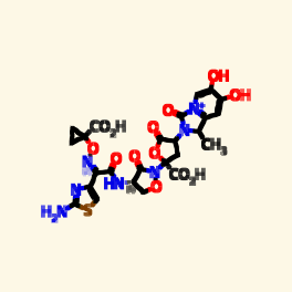 CC1c2cc(O)c(O)c[n+]2C(=O)N1C1CC(C(=O)O)(N2OC[C@H](NC(=O)/C(=N\OC3(C(=O)O)CC3)c3csc(N)n3)C2=O)OC1=O